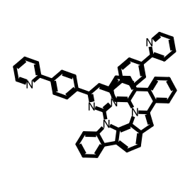 c1ccc(-c2ccc(-c3cc(-c4ccc(-c5ccccn5)cc4)nc(-n4c5ccccc5c5ccc6cc7c8ccccc8c8ccccc8n7c6c54)n3)cc2)nc1